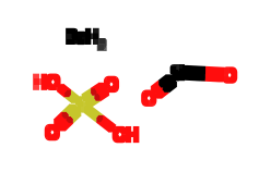 O=S(=O)(O)O.O=[Si]=O.[BaH2]